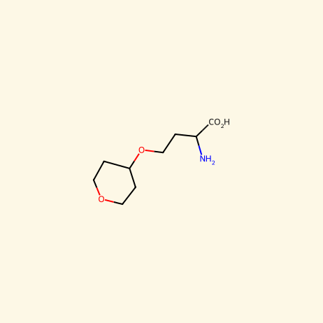 NC(CCOC1CCOCC1)C(=O)O